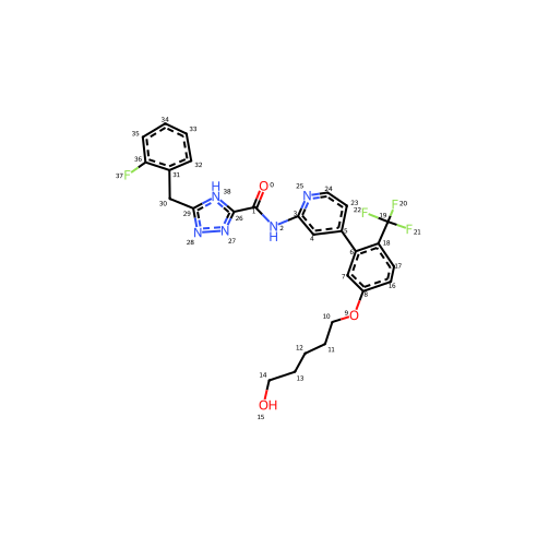 O=C(Nc1cc(-c2cc(OCCCCCO)ccc2C(F)(F)F)ccn1)c1nnc(Cc2ccccc2F)[nH]1